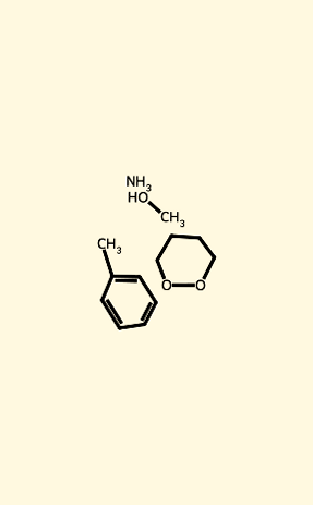 C1CCOOC1.CO.Cc1ccccc1.N